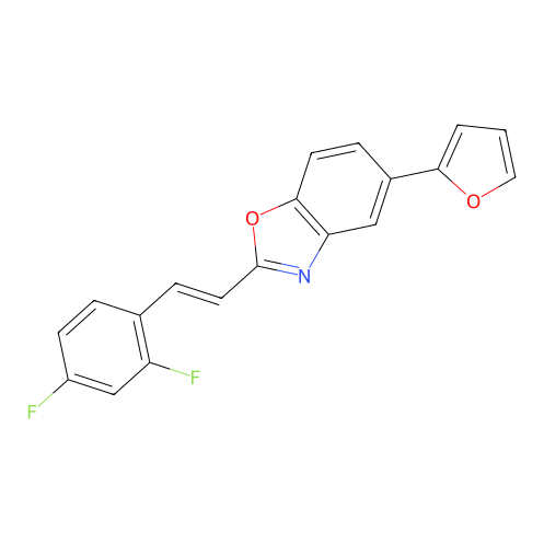 Fc1ccc(/C=C/c2nc3cc(-c4ccco4)ccc3o2)c(F)c1